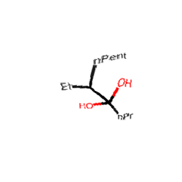 CCCCCC(CC)C(O)(O)CCC